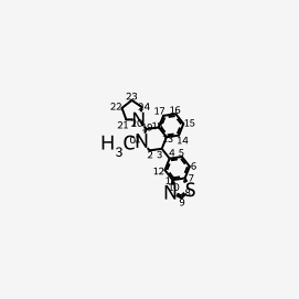 CN1CC(c2ccc3scnc3c2)c2ccccc2C1N1CCCC1